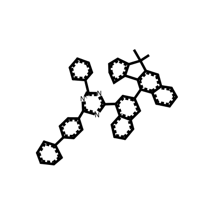 CC1(C)c2ccccc2-c2c1cc1ccccc1c2-c1cc(-c2nc(-c3ccccc3)nc(-c3ccc(-c4ccccc4)cc3)n2)c2ccccc2c1